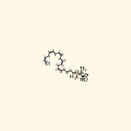 CC/C=C\C/C=C\C/C=C\C/C=C\C/C=C\CCCCOC(C)(C)C(=O)N=O